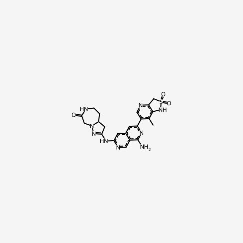 Cc1c(-c2cc3cc(NC4=NN5CC(=O)NCCC5C4)ncc3c(N)n2)cnc2c1NS(=O)(=O)C2